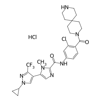 Cl.Cn1c(-c2cn(C3CC3)nc2C(F)(F)F)cnc1C(=O)Nc1ccc(C(=O)N2CCC3(CCNCC3)CC2)c(Cl)c1